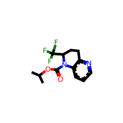 CC(C)OC(=O)N1c2cccnc2CCC1C(F)(F)F